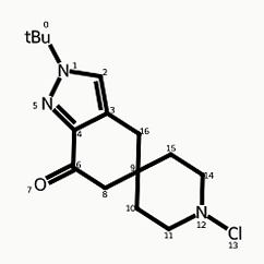 CC(C)(C)n1cc2c(n1)C(=O)CC1(CCN(Cl)CC1)C2